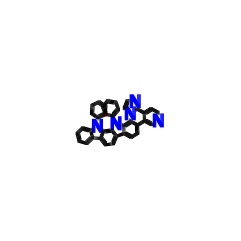 c1ccc(-n2c3ccccc3c3ccc4c5ccc6c7cnccc7c7nccn7c6c5n(-c5ccccc5)c4c32)cc1